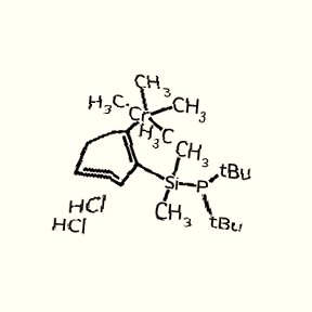 CC(C)(C)P(C(C)(C)C)[Si](C)(C)C1=[C]([Cr]([CH3])([CH3])([CH3])[CH3])CC=C1.Cl.Cl